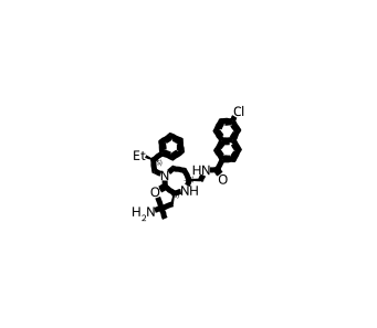 CC[C@H](CN1CC[C@@H](CNC(=O)c2ccc3cc(Cl)ccc3c2)N[C@@H](CC(C)(C)N)C1=O)c1ccccc1